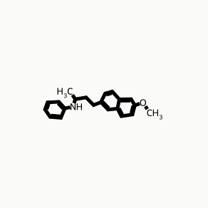 COc1ccc2cc(CCC(C)Nc3ccccc3)ccc2c1